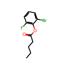 CCCCC(=O)Oc1c(F)cccc1Br